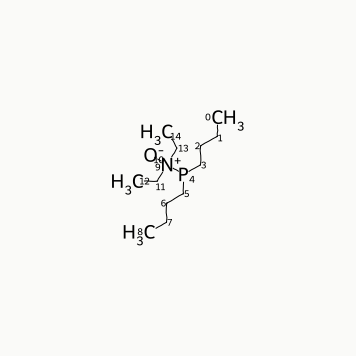 CCCCP(CCCC)[N+]([O-])(CC)CC